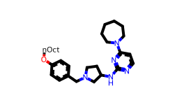 CCCCCCCCOc1ccc(CN2CCC(Nc3nccc(N4CCCCCC4)n3)C2)cc1